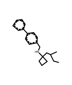 CCC(C)CC1(NCc2ccc(-c3ccccc3)cc2)CCC1